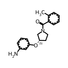 Cc1ccccc1C(=O)N1CC[C@H](Oc2cccc(N)c2)C1